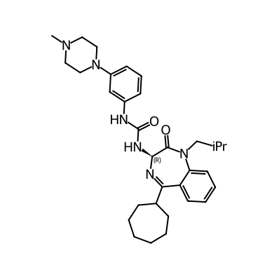 CC(C)CN1C(=O)[C@H](NC(=O)Nc2cccc(N3CCN(C)CC3)c2)N=C(C2CCCCCC2)c2ccccc21